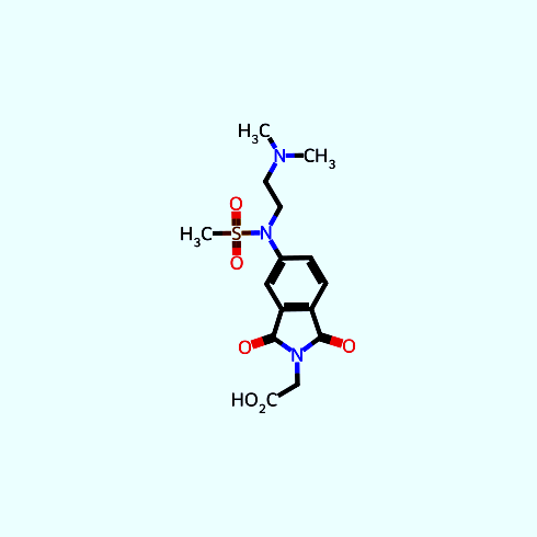 CN(C)CCN(c1ccc2c(c1)C(=O)N(CC(=O)O)C2=O)S(C)(=O)=O